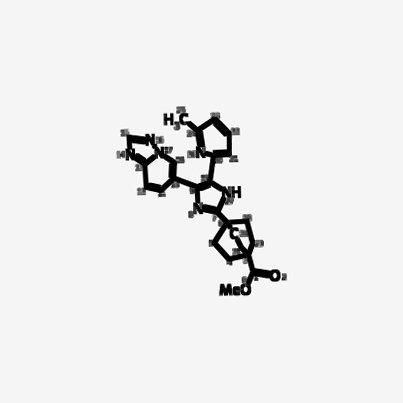 COC(=O)C12CCC(c3nc(-c4ccc5ncnn5c4)c(-c4cccc(C)n4)[nH]3)(CC1)CC2